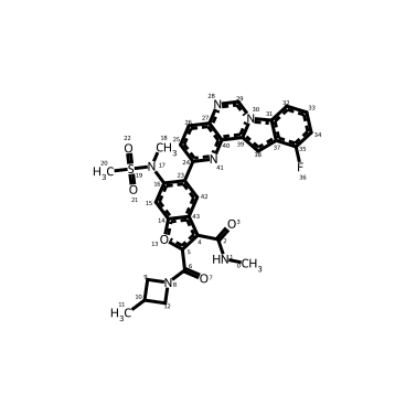 CNC(=O)c1c(C(=O)N2CC(C)C2)oc2cc(N(C)S(C)(=O)=O)c(-c3ccc4ncn5c6cccc(F)c6cc5c4n3)cc12